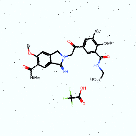 CCOc1cc2c(cc1C(=O)NC)C(=N)N(CC(=O)c1cc(C(=O)NCC(=O)O)c(OC)c(C(C)(C)C)c1)C2.O=C(O)C(F)(F)F